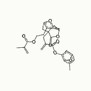 C=C(C)C(=O)OCCc1c2oc3c1OC(=O)C3(CC(=C)C(=O)Oc1cc3cc(C)c1o3)C2